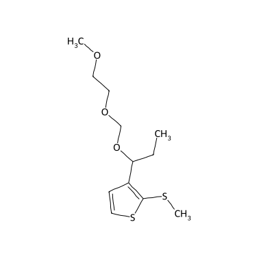 CCC(OCOCCOC)c1ccsc1SC